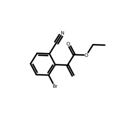 C=C(C(=O)OCC)c1c(Br)cccc1C#N